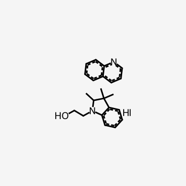 CC1N(CCO)c2ccccc2C1(C)C.I.c1ccc2ncccc2c1